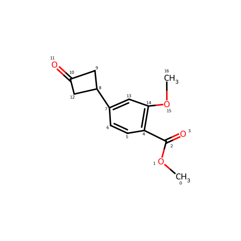 COC(=O)c1ccc(C2CC(=O)C2)cc1OC